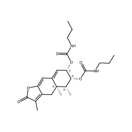 CCCNC(=O)O[C@H]1[C@@H](OC(=O)NCCC)C=C2C=C3OC(=O)C(C)=C3C[C@]2(C)[C@H]1C